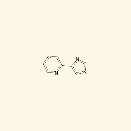 [c]1nc(-c2ccccn2)cs1